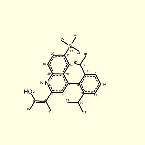 C/C(O)=C(\C)c1cc(-c2c(C(C)C)cccc2C(C)C)c2cc([Si](C)(C)C)ccc2n1